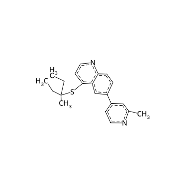 CCC(C)(CC)Sc1ccnc2ccc(-c3ccnc(C)c3)cc12